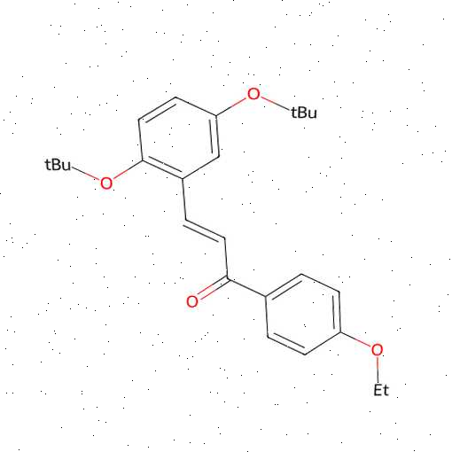 CCOc1ccc(C(=O)/C=C/c2cc(OC(C)(C)C)ccc2OC(C)(C)C)cc1